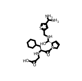 NC(N)c1csc(CNC(O)[C@@H]2C=CCN2C2OC2[C@H](CC2CCCCC2)NCC2OC2O)c1